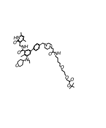 CCN(c1cc(-c2ccc(CN3CCN(CC(=O)NCCCCCOCCCOCC(=O)OC(C)(C)C)CC3)cc2)cc(C(=O)NCc2c(C)cc(C)[nH]c2=O)c1C)C1CCOCC1